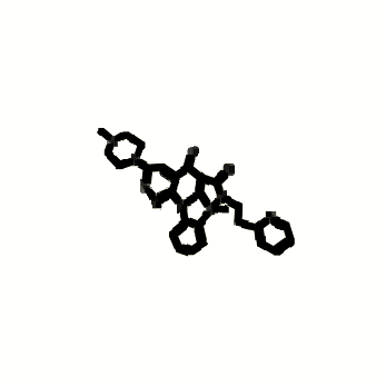 CN1CCN(c2cc3c(=O)c4c5n(c3nn2)-c2ccccc2S5(C)N(CCc2ccccn2)C4=O)CC1